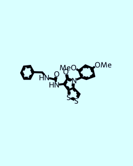 COc1ccc(-n2c3cssc-3c(NC(=O)NCc3ccccc3)c2=O)c(OC)c1